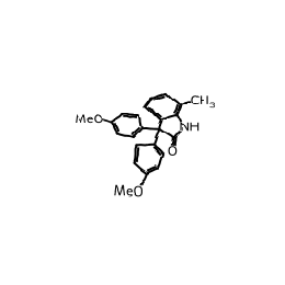 COc1ccc(C2(c3ccc(OC)cc3)C(=O)Nc3c(C)cccc32)cc1